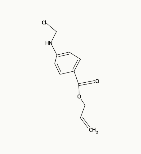 C=CCOC(=O)c1ccc(NCCl)cc1